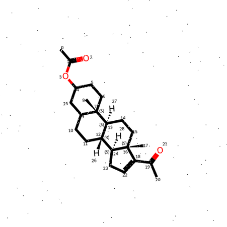 CC(=O)OC1CC[C@@]2(C)C(CC[C@@H]3[C@@H]2CC[C@]2(C)C(C(C)=O)=CC[C@@H]32)C1